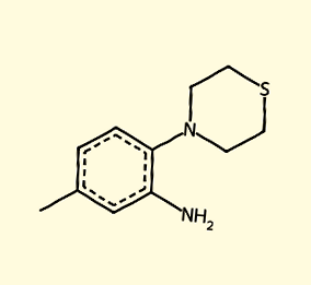 Cc1ccc(N2CCSCC2)c(N)c1